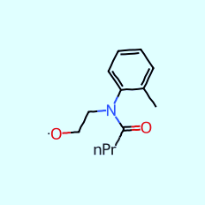 CCCC(=O)N(CC[O])c1ccccc1C